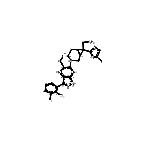 Cc1csc(C2(CN)C3CCN(c4nc5[nH]nc(-c6cccc(Cl)c6Cl)c5nc4CO)CC32)n1